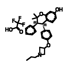 CCCN1CC(Oc2ccc([C@H]3c4ccc(O)cc4OC(C)(C)[C@@H]3c3ccccc3)cc2)C1.O=C(O)C(F)(F)F